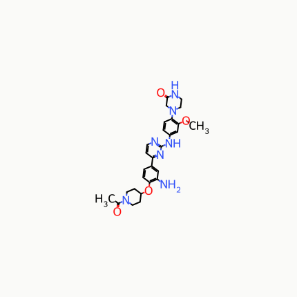 COc1cc(Nc2nccc(-c3ccc(OC4CCN(C(C)=O)CC4)c(N)c3)n2)ccc1N1CCNC(=O)C1